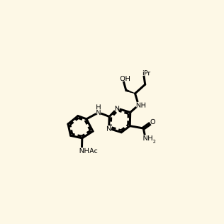 CC(=O)Nc1cccc(Nc2ncc(C(N)=O)c(N[C@@H](CO)CC(C)C)n2)c1